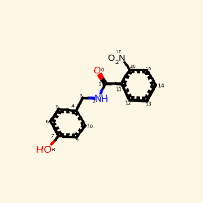 O=C(NCc1ccc(O)cc1)c1ccccc1[N+](=O)[O-]